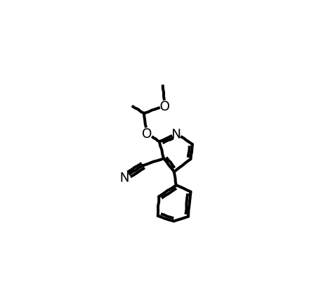 COC(C)Oc1nccc(-c2ccccc2)c1C#N